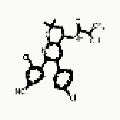 CC1(C)CC(NC(=O)C(O)C(F)(F)F)c2cc(-c3ccc(Cl)cc3)c(-c3ccc(C#N)cc3Cl)nc2O1